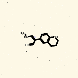 CN/C=C(\C=N)c1ccc2c(c1)CCCN2